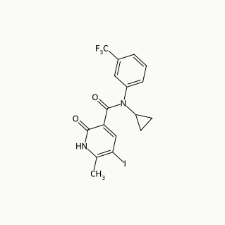 Cc1[nH]c(=O)c(C(=O)N(c2cccc(C(F)(F)F)c2)C2CC2)cc1I